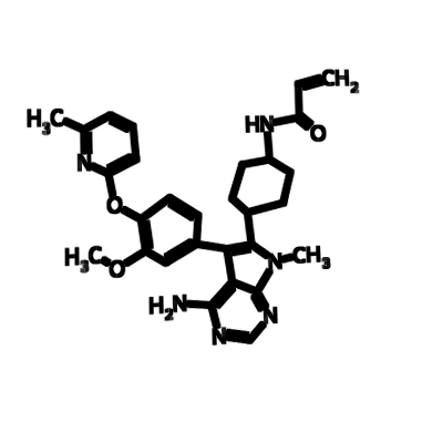 C=CC(=O)NC1CCC(c2c(-c3ccc(Oc4cccc(C)n4)c(OC)c3)c3c(N)ncnc3n2C)CC1